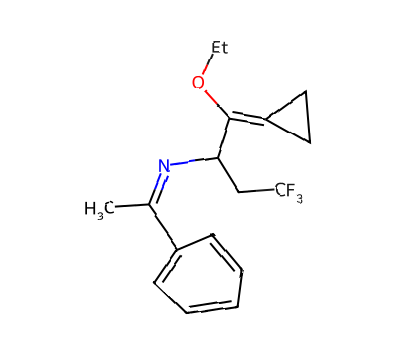 CCOC(=C1CC1)C(CC(F)(F)F)/N=C(/C)c1ccccc1